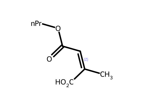 CCCOC(=O)/C=C(/C)C(=O)O